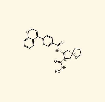 O=C(N[C@@H]1C[C@@]2(CCCO2)C[C@@H]1C(=O)NO)c1ccc(C2=CCOc3ccccc32)cc1